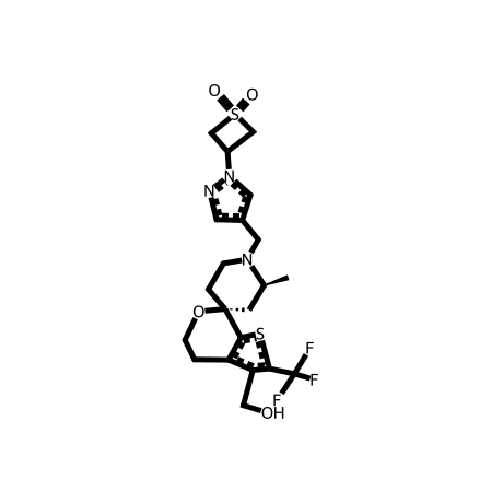 C[C@H]1C[C@@]2(CCN1Cc1cnn(C3CS(=O)(=O)C3)c1)OCCc1c2sc(C(F)(F)F)c1CO